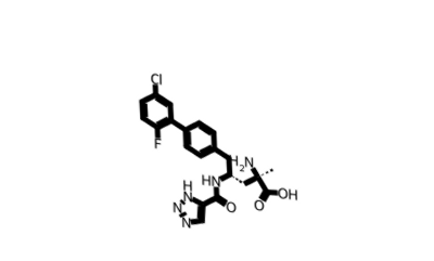 C[C@@](N)(C[C@@H](Cc1ccc(-c2cc(Cl)ccc2F)cc1)NC(=O)c1cnn[nH]1)C(=O)O